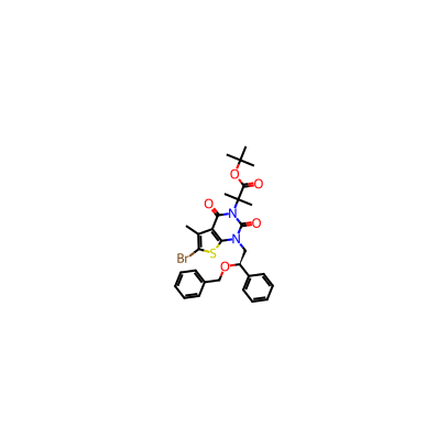 Cc1c(Br)sc2c1c(=O)n(C(C)(C)C(=O)OC(C)(C)C)c(=O)n2C[C@H](OCc1ccccc1)c1ccccc1